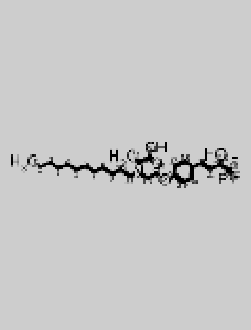 CCCCCCCCCCCCN(CCOc1ccc(C=CC(O)C(F)(F)F)cc1)C(C)C(=O)O